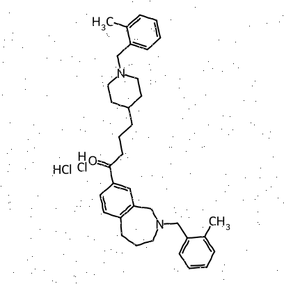 Cc1ccccc1CN1CCC(CCCC(=O)c2ccc3c(c2)CN(Cc2ccccc2C)CCC3)CC1.Cl.Cl